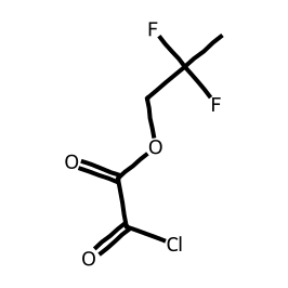 CC(F)(F)COC(=O)C(=O)Cl